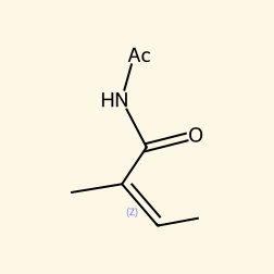 C/C=C(/C)C(=O)NC(C)=O